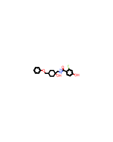 O=C(NCC1(O)CCC(COc2ccccc2)CC1)c1ccc(O)cc1F